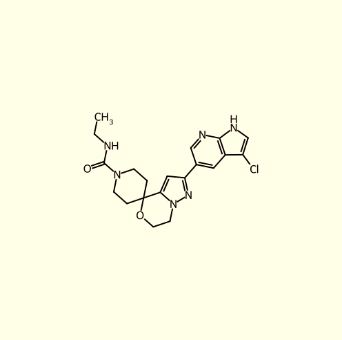 CCNC(=O)N1CCC2(CC1)OCCn1nc(-c3cnc4[nH]cc(Cl)c4c3)cc12